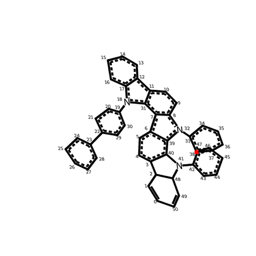 C1=CC2c3ccc4c5c(ccc6c7ccccc7n(-c7ccc(-c8ccccc8)cc7)c65)n(-c5ccccc5)c4c3N(c3ccccc3)C2C=C1